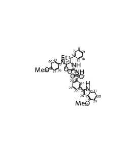 CCN(C(=O)C(Cc1ccccc1)NC(=O)NS(=O)(=O)c1cccc(-c2cc3c(OC)cccc3[nH]2)c1)c1ccc(OC)cc1